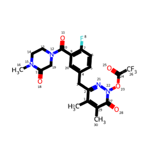 Cc1c(Cc2ccc(F)c(C(=O)N3CCN(C)C(=O)C3)c2)nn(OC(=O)C(F)(F)F)c(=O)c1C